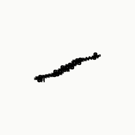 C=CC(=O)OCCCCCCCCOC(=O)Oc1ccc(C(=O)Oc2ccc(OC(=O)c3ccc(OC(=O)OCCCCCCCCOC(O)C=C)cc3)c(C)c2)cc1